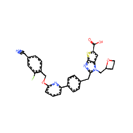 N#Cc1ccc(COc2cccc(-c3ccc(Cc4nc5sc(C(=O)O)cc5n4CC4CCO4)cc3)n2)c(F)c1